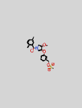 CO[C@@H]1CN(C(=O)c2cc(C)ccc2C)C[C@H]1Oc1cccc(COS(C)(=O)=O)c1